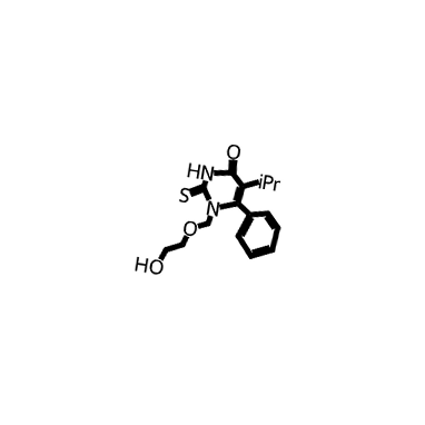 CC(C)c1c(-c2ccccc2)n(COCCO)c(=S)[nH]c1=O